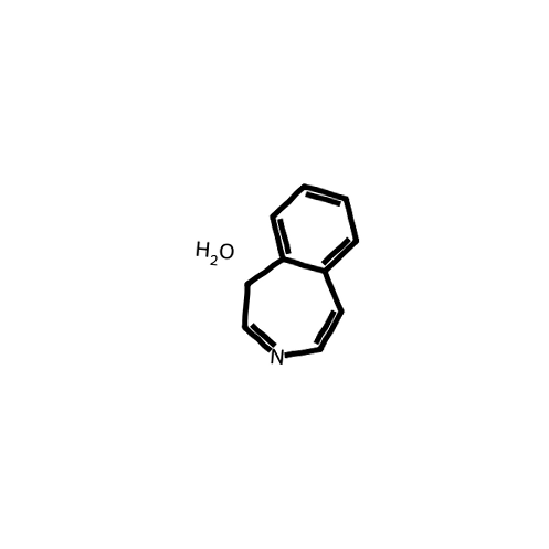 C1=Cc2ccccc2CC=N1.O